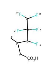 CC(CC(=O)O)C(F)C(F)(F)C(F)F